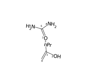 C=C(O)CCC.NC(N)=O